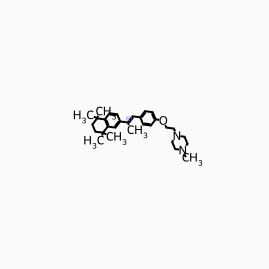 C/C(=C\c1ccc(OCCN2CCN(C)CC2)cc1)c1ccc2c(c1)C(C)(C)CCC2(C)C